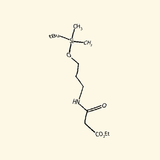 CCOC(=O)CC(=O)NCCCO[Si](C)(C)C(C)(C)C